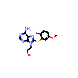 COc1ccc(I)c(Sc2nc3c(N)ncnc3n2CCO)c1